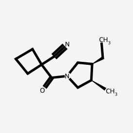 CC[C@@H]1CN(C(=O)C2(C#N)CCC2)C[C@@H]1C